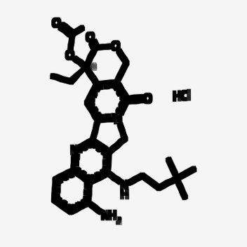 CC[C@@]1(OC(C)=O)C(=O)OCc2c1cc1n(c2=O)Cc2c-1nc1cccc(N)c1c2NCCC(C)(C)C.Cl